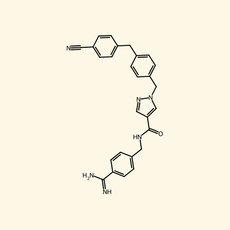 N#Cc1ccc(Cc2ccc(Cn3cc(C(=O)NCc4ccc(C(=N)N)cc4)cn3)cc2)cc1